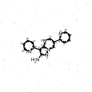 Nc1nn2cc(-c3ccccn3)cnc2c1-c1ccccn1